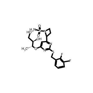 C[C@@H](Oc1cc(C2CCN2S(N)(=O)=O)nc(SCc2cccc(F)c2F)n1)[C@H](O)CO